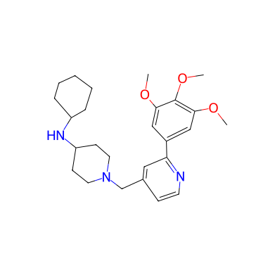 COc1cc(-c2cc(CN3CCC(NC4CCCCC4)CC3)ccn2)cc(OC)c1OC